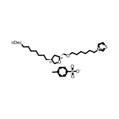 CCCCCCCCCCCCCCCCC[C@@H]1CO[C@@H](COCCCCCC[n+]2ccsc2)C1.Cc1ccc(S(=O)(=O)[O-])cc1